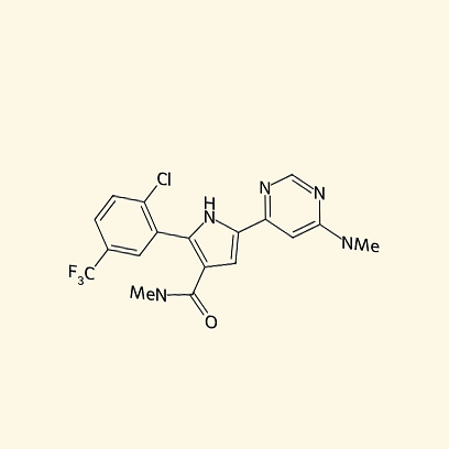 CNC(=O)c1cc(-c2cc(NC)ncn2)[nH]c1-c1cc(C(F)(F)F)ccc1Cl